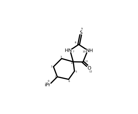 CC(C)C1CCC2(CC1)NC(=S)NC2=O